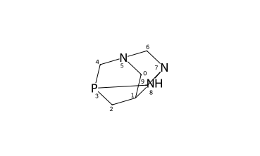 C1C2CP3CN1CN(C3)N2